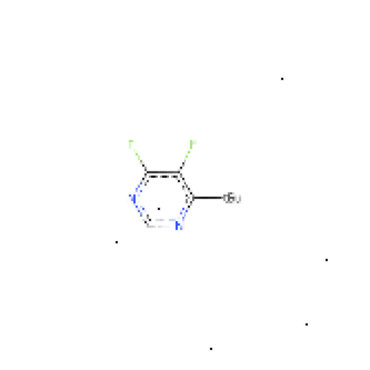 CC(C)(C)c1ncnc(F)c1F